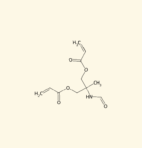 C=CC(=O)OCC(C)(COC(=O)C=C)NC=O